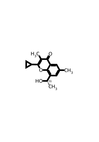 Cc1cc([C@H](C)O)c2oc(C3CC3)c(C)c(=O)c2c1